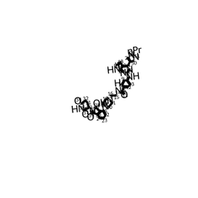 CCCn1cc(-c2nc(Nc3ccc(C(=O)NCCN4CCN(c5cccc6c5C(O)N(C5CCC(=O)NC5=O)C6=O)CC4)cc3)nc3[nH]ccc23)cn1